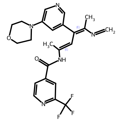 C=N/C(C)=C(\C=C(/C)NC(=O)c1ccnc(C(F)(F)F)c1)c1cncc(N2CCOCC2)c1